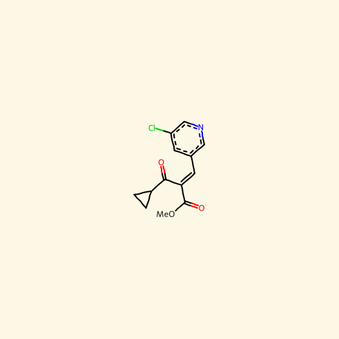 COC(=O)C(=Cc1cncc(Cl)c1)C(=O)C1CC1